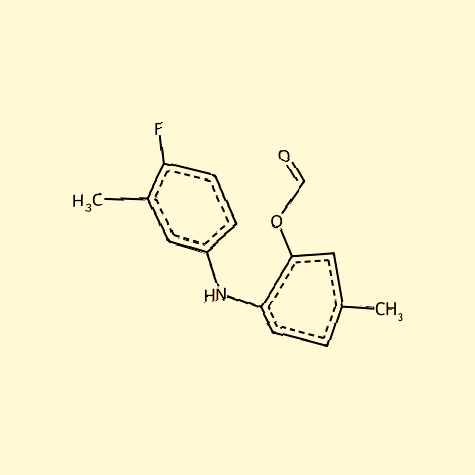 Cc1ccc(Nc2ccc(F)c(C)c2)c(OC=O)c1